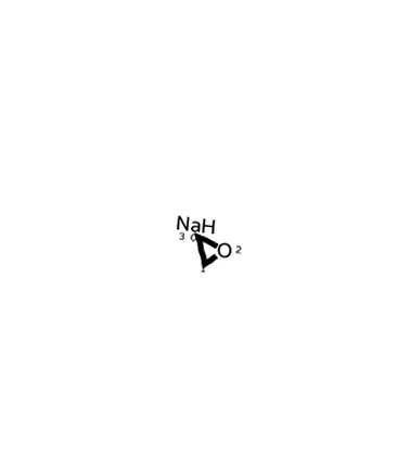 C1CO1.[NaH]